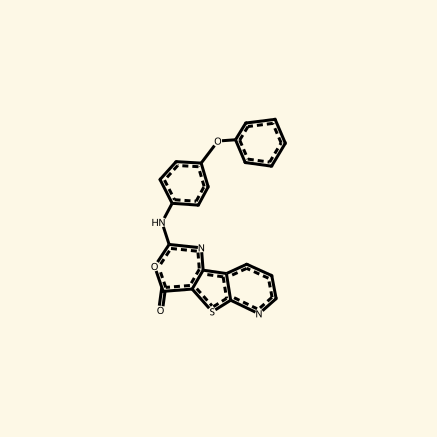 O=c1oc(Nc2ccc(Oc3ccccc3)cc2)nc2c1sc1ncccc12